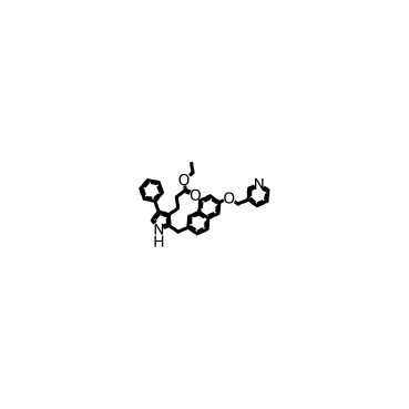 CCOC(=O)CCc1c(-c2ccccc2)c[nH]c1Cc1ccc2cc(OCc3cccnc3)ccc2c1